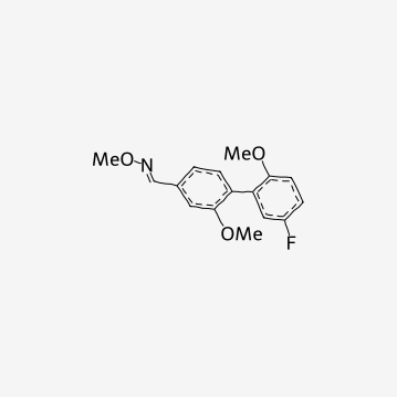 CON=Cc1ccc(-c2cc(F)ccc2OC)c(OC)c1